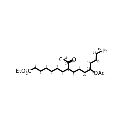 CCOC(=O)CCCCCCC(CCCC(CCCC(C)C)OC(C)=O)C(=O)Cl